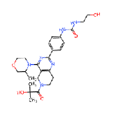 CC1COCCN1c1nc(-c2ccc(NC(=O)NCCO)cc2)nc2c1CN(C(=O)C(C)(C)O)CC2